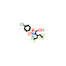 O=S(=O)(NC(CO)C(CC(F)(F)F)CC(F)(F)F)c1ccc(Cl)cc1